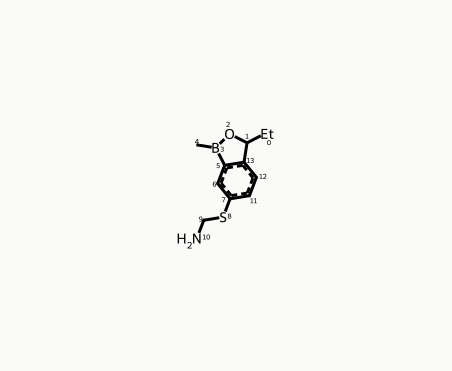 CCC1OB(C)c2cc(SCN)ccc21